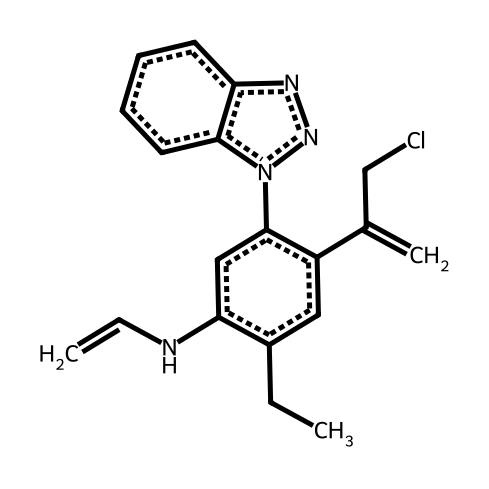 C=CNc1cc(-n2nnc3ccccc32)c(C(=C)CCl)cc1CC